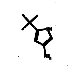 CC(C)(C)c1cc(P)c[nH]1